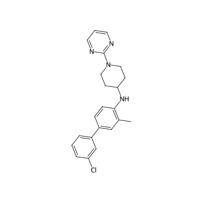 Cc1cc(-c2cccc(Cl)c2)ccc1NC1CCN(c2ncccn2)CC1